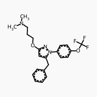 CN(C)CCCOc1cc(Cc2ccccc2)n(-c2ccc(OC(F)(F)F)cc2)n1